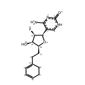 Nc1nc(=O)[nH]cc1[C@H]1O[C@@H](CCC2=CC=CC[CH]2)[C@@H](O)[C@H]1F